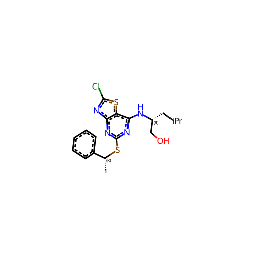 CC(C)C[C@H](CO)Nc1nc(S[C@H](C)c2ccccc2)nc2nc(Cl)sc12